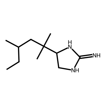 CCC(C)CC(C)(C)C1CNC(=N)N1